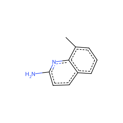 Cc1cccc2ccc(N)nc12